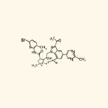 CC(=O)c1nn(CC(=O)N2[C@H](C(=O)Nc3nc(Br)ccc3C)C[C@@]3(C)C[C@@H]23)c2c(C(F)(F)F)cc(-c3cnc(C)nc3)cc12